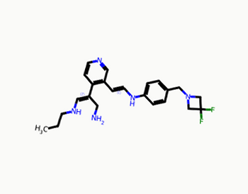 CCCN/C=C(\CN)c1ccncc1/C=C/Nc1ccc(CN2CC(F)(F)C2)cc1